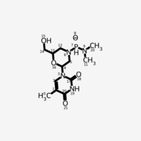 Cc1cn(C2CN([PH](=O)N(C)C)CC(CO)O2)c(=O)[nH]c1=O